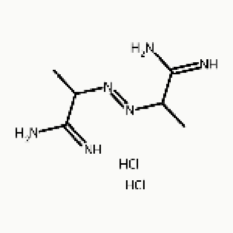 CC(N=NC(C)C(=N)N)C(=N)N.Cl.Cl